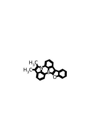 Cc1c(C)n2c3c(cccc13)B1c3oc4ccccc4c3-c3cccc-2c31